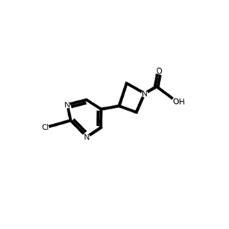 O=C(O)N1CC(c2cnc(Cl)nc2)C1